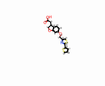 O=C(O)CC1COc2cc(OCc3csc(-c4cccs4)n3)ccc21